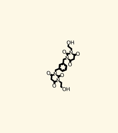 O=C1CC(=O)N(Cc2cccc(CN3C(=O)CC(=O)N(CCO)C3=O)c2)C(=O)N1CCO